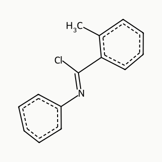 Cc1ccccc1C(Cl)=Nc1ccccc1